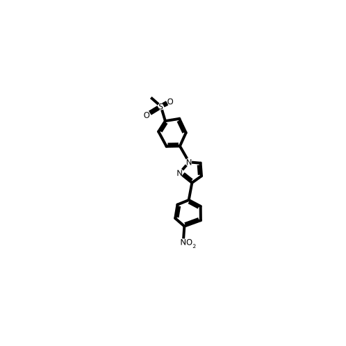 CS(=O)(=O)c1ccc(-n2ccc(-c3ccc([N+](=O)[O-])cc3)n2)cc1